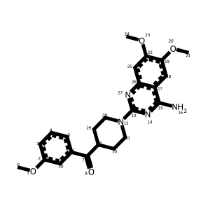 COc1cccc(C(=O)C2CCN(c3nc(N)c4cc(OC)c(OC)cc4n3)CC2)c1